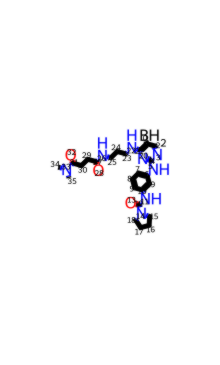 Bc1cnc(Nc2cccc(NC(=O)N3CCCC3)c2)nc1NCCCNC(=O)CCC(=O)N(C)C